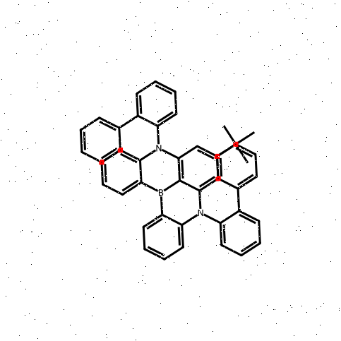 CC(C)(C)c1cc2c3c(c1)N(c1ccccc1-c1ccccc1)c1ccccc1B3c1ccccc1N2c1ccccc1-c1ccccc1